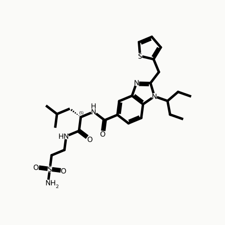 CCC(CC)n1c(Cc2cccs2)nc2cc(C(=O)N[C@@H](CC(C)C)C(=O)NCCS(N)(=O)=O)ccc21